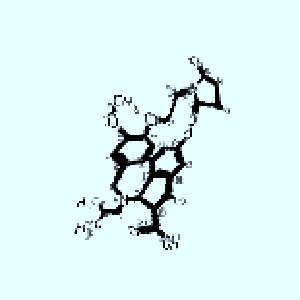 COc1cc(CN(CC(C)C)C2c3ccc(Cl)cc3CC2C(=O)O)ccc1OCCN1C(=O)CCC1=O